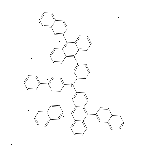 c1ccc(-c2ccc(N(c3cccc(-c4c5ccccc5c(-c5ccc6ccccc6c5)c5ccccc45)c3)c3ccc4c(-c5ccc6ccccc6c5)c5ccccc5c(-c5ccc6ccccc6c5)c4c3)cc2)cc1